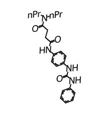 CCCN(CCC)C(=O)CCC(=O)Nc1ccc(NC(=O)Nc2ccccc2)cc1